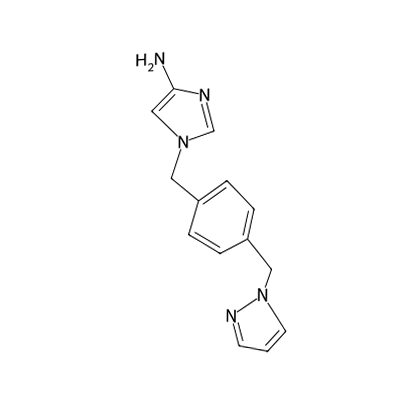 Nc1cn(Cc2ccc(Cn3cccn3)cc2)cn1